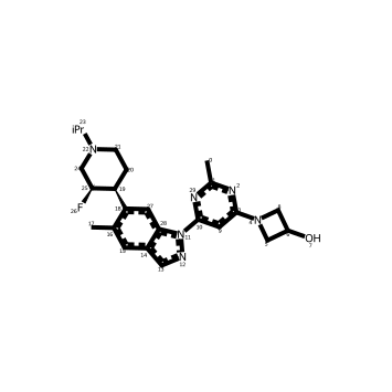 Cc1nc(N2CC(O)C2)cc(-n2ncc3cc(C)c([C@@H]4CCN(C(C)C)C[C@@H]4F)cc32)n1